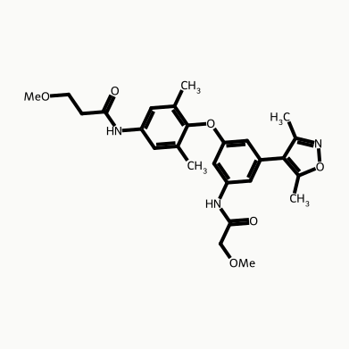 COCCC(=O)Nc1cc(C)c(Oc2cc(NC(=O)COC)cc(-c3c(C)noc3C)c2)c(C)c1